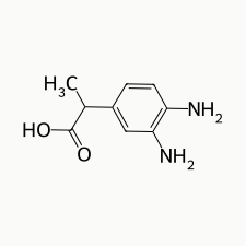 CC(C(=O)O)c1ccc(N)c(N)c1